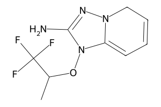 CC(ON1C2=CC=CCN2N=C1N)C(F)(F)F